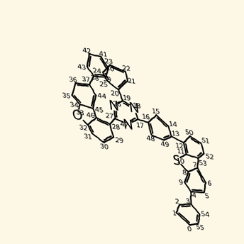 c1ccc(-c2ccc3c(c2)sc2c(-c4ccc(-c5nc(-c6ccccc6)nc(-c6cccc7oc8ccc(-c9ccccc9)cc8c67)n5)cc4)cccc23)cc1